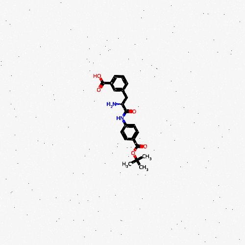 CC(C)(C)OC(=O)c1ccc(NC(=O)[C@@H](N)Cc2cccc(C(=O)O)c2)cc1